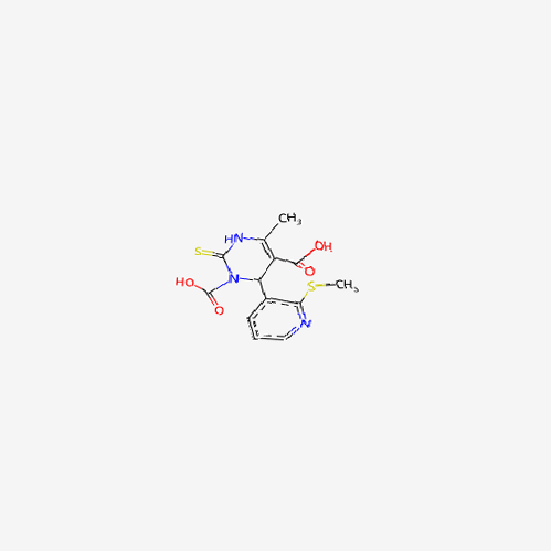 CSc1ncccc1C1C(C(=O)O)=C(C)NC(=S)N1C(=O)O